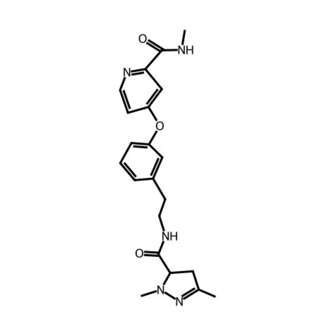 CNC(=O)c1cc(Oc2cccc(CCNC(=O)C3CC(C)=NN3C)c2)ccn1